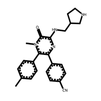 Cc1ccc(-c2c(-c3ccc(C#N)cc3)nc(NCC3CCNC3)c(=O)n2C)cc1